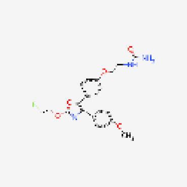 COc1ccc(-c2nc(OCCF)oc2-c2ccc(OCCNC(N)=O)cc2)cc1